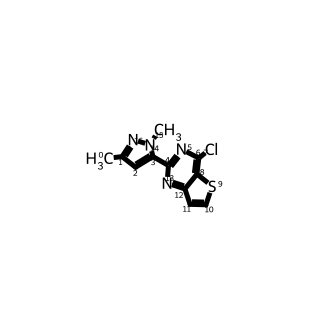 Cc1cc(-c2nc(Cl)c3sccc3n2)n(C)n1